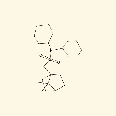 CC1(C)C2C[CH]C1(CS(=O)(=O)N(C1CCCCC1)C1CCCCC1)CC2